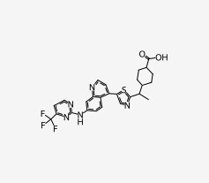 CC(c1ncc(-c2ccnc3cc(Nc4nccc(C(F)(F)F)n4)ccc23)s1)C1CCC(C(=O)O)CC1